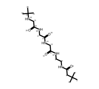 CC(C)(C)CC(=O)NCCNC(=O)CNC(=O)CNC(=O)CNC(C)(C)C